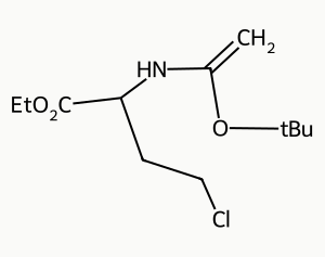 C=C(NC(CCCl)C(=O)OCC)OC(C)(C)C